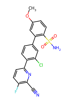 COc1ccc(S(N)(=O)=O)c(-c2ccc(-c3ccc(F)c(C#N)n3)c(Cl)c2)c1